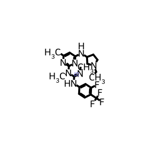 CCN1CCC(Nc2cc(C)nc(N(C)/C(=N\C)Nc3ccc(C(F)(F)F)c(F)c3)n2)C1